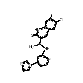 CC(Nc1cc(-n2ccnc2)ccn1)c1cc2cc(Cl)c(F)cc2[nH]c1=O